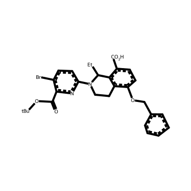 CCC1c2c(C(=O)O)ccc(OCc3ccccc3)c2CCN1c1ccc(Br)c(C(=O)OC(C)(C)C)n1